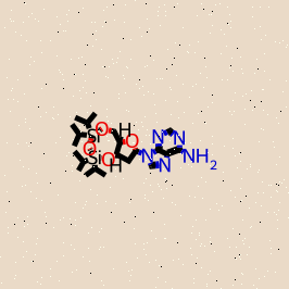 CC(C)[Si]1(C(C)C)OC[C@@H]2OC(n3cnc4c(N)ncnc43)C[C@@H]2O[Si](C(C)C)(C(C)C)O1